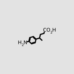 CC(CCC(=O)O)c1ccc(N)cc1